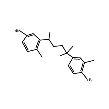 Cc1ccc(C(C)(C)C)cc1C(C)CCC(C)(C)c1ccc(C(F)(F)F)c(C)c1